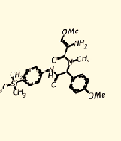 CO/C=C(\N)C(=O)N(C)C(C(=O)Nc1ccc([Si](C)(C)C)cc1)c1ccc(OC)cc1